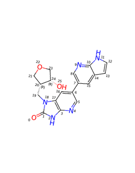 O=c1[nH]c2ncc(-c3cnc4[nH]ccc4c3)cc2n1C[C@@H]1COC[C@@H]1O